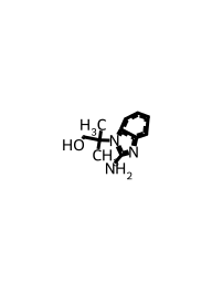 CC(C)(CO)n1c(N)nc2ccccc21